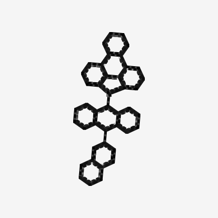 c1ccc2cc(-c3c4ccccc4c(-n4c5cccc6c7ccccc7c7cccc4c7c65)c4ccccc34)ccc2c1